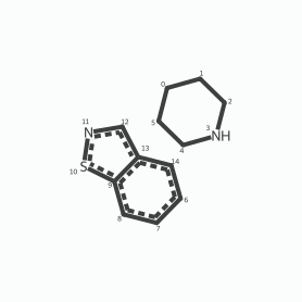 C1CCNCC1.c1ccc2sncc2c1